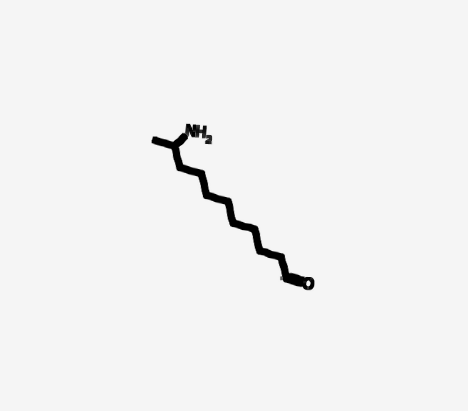 CC(N)CCCCCCCC[C]=O